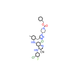 Cc1ccc(Cc2cn(C3CCN(C(=O)OCc4ccccc4)CC3)nn2)c(Nc2cc(Cl)c3ncc(C#N)c(Nc4ccc(F)c(Cl)c4)c3c2)c1